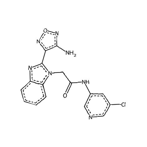 Nc1nonc1-c1nc2ccccc2n1CC(=O)Nc1cncc(Cl)c1